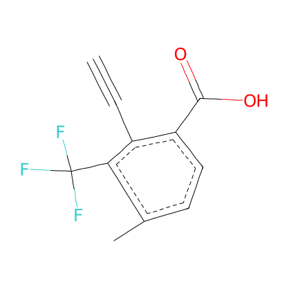 C#Cc1c(C(=O)O)ccc(C)c1C(F)(F)F